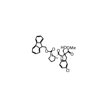 COC(=O)[C@](CO)(Cc1cccc(Cl)c1)NC(=O)[C@@H]1CCCN1C(=O)OCC1c2ccccc2-c2ccccc21